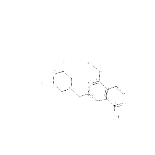 C=Cc1c(C(=O)O)cc(CN2C[C@@H](C)O[C@@H](C)C2)nc1CO